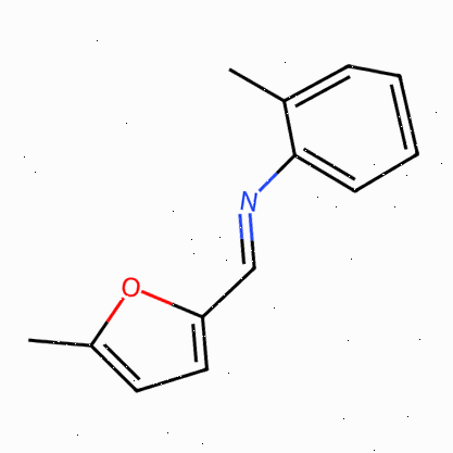 Cc1ccc(C=Nc2ccccc2C)o1